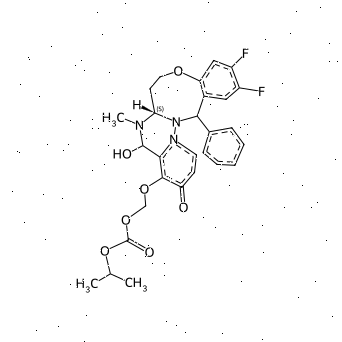 CC(C)OC(=O)OCOc1c2n(ccc1=O)N1C(c3ccccc3)c3cc(F)c(F)cc3OCC[C@H]1N(C)C2O